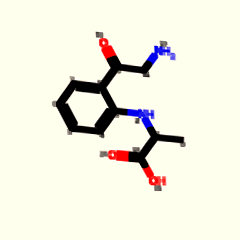 CC(Nc1ccccc1C(=O)CN)C(=O)O